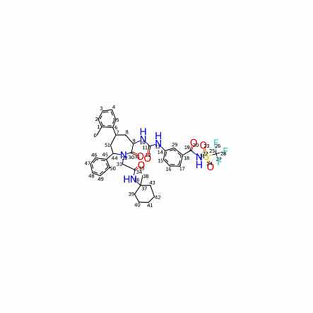 Cc1ccccc1C1CC(NC(=O)Nc2cccc(C(=O)NS(=O)(=O)C(F)(F)F)c2)C(=O)N(CC(=O)NC2(C)CCCCC2)C(c2ccccc2)C1